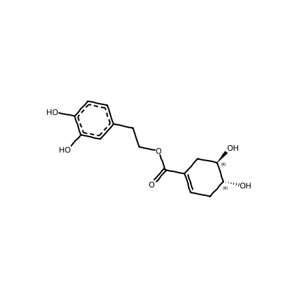 O=C(OCCc1ccc(O)c(O)c1)C1=CC[C@@H](O)[C@H](O)C1